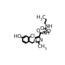 CCCNS(=O)(=O)NC(=O)c1cn(Cc2ccc(O)cc2Cl)c(C)n1